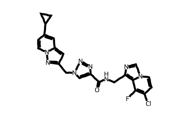 O=C(NCc1ncn2ccc(Cl)c(F)c12)c1cn(Cc2cc3cc(C4CC4)ccn3n2)nn1